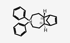 C1=CC2CC1[C@H]1CC[Si](c3ccccc3)(c3ccccc3)CC[C@H]21